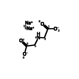 O=C([O-])CNCC(=O)[O-].[Na+].[Na+]